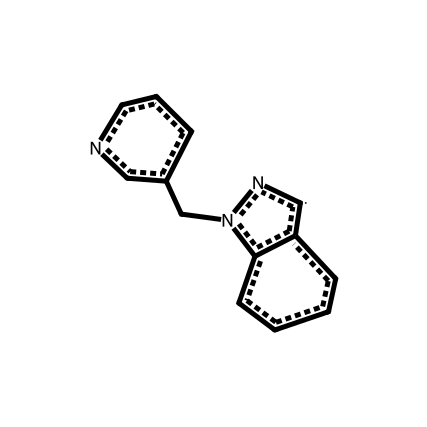 [c]1nn(Cc2cccnc2)c2ccccc12